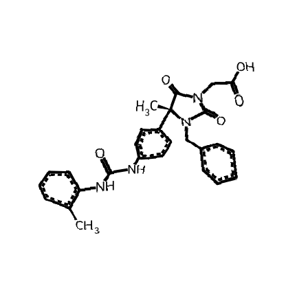 Cc1ccccc1NC(=O)Nc1ccc([C@]2(C)C(=O)N(CC(=O)O)C(=O)N2Cc2ccccc2)cc1